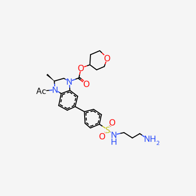 CC(=O)N1c2ccc(-c3ccc(S(=O)(=O)NCCCN)cc3)cc2N(C(=O)OC2CCOCC2)C[C@@H]1C